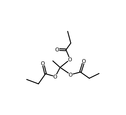 CCC(=O)OC(C)(OC(=O)CC)OC(=O)CC